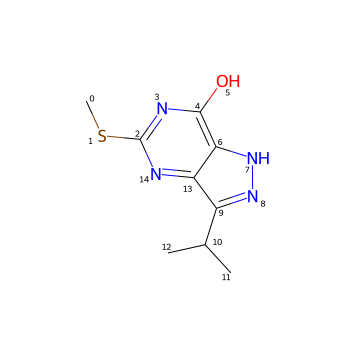 CSc1nc(O)c2[nH]nc(C(C)C)c2n1